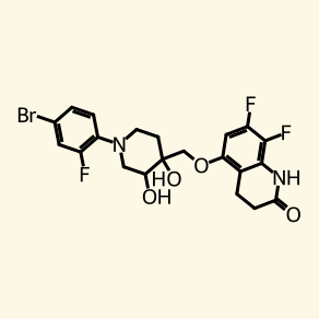 O=C1CCc2c(OCC3(O)CCN(c4ccc(Br)cc4F)CC3O)cc(F)c(F)c2N1